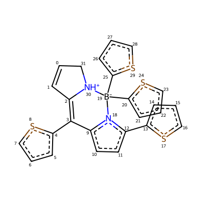 C1=CC2=C(c3cccs3)c3ccc(-c4cccs4)n3[B-](c3cccs3)(c3cccs3)[NH+]2C1